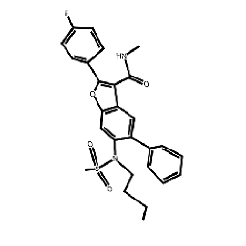 CCCCN(c1cc2oc(-c3ccc(F)cc3)c(C(=O)NC)c2cc1-c1ccccc1)S(C)(=O)=O